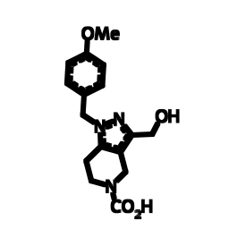 COc1ccc(Cn2nc(CO)c3c2CCN(C(=O)O)C3)cc1